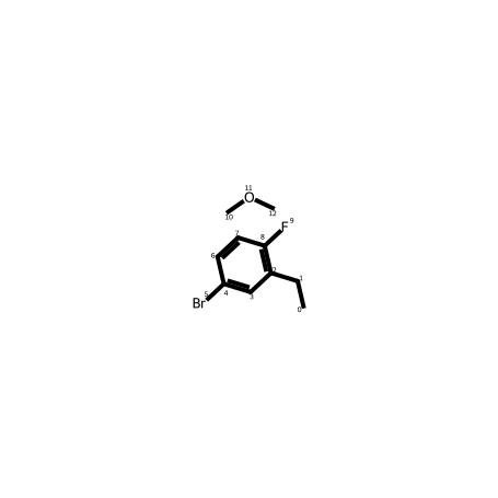 CCc1cc(Br)ccc1F.COC